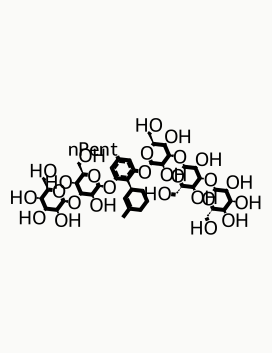 CCCCCc1cc(O[C@H]2O[C@@H](CO)[C@H](O)[C@@H](O[C@H]3O[C@@H](CO)[C@H](O)[C@@H](O[C@H]4O[C@@H](CO)[C@H](O)[C@@H](O)[C@@H]4O)[C@@H]3O)[C@@H]2O)c([C@@H]2C=C(C)CCC2)c(O[C@@H]2O[C@H](CO)[C@@H](O)[C@H](O[C@@H]3O[C@H](CO)[C@@H](O)[C@H](O)[C@H]3O)[C@H]2O)c1